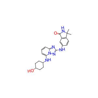 CC1(C)NC(=O)c2cc(Nc3nc4cccc(NC5CCC(O)CC5)n4n3)ccc21